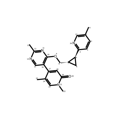 Cc1ccc([C@H]2C[C@@H]2COc2nc(C)ncc2-c2cc(=O)n(C)cc2C)nc1